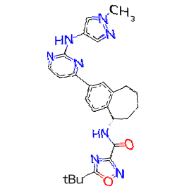 Cn1cc(Nc2nccc(-c3ccc4c(c3)CCCC[C@@H]4NC(=O)c3noc(C(C)(C)C)n3)n2)cn1